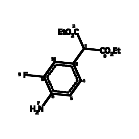 CCOC(=O)C(C(=O)OCC)c1ccc(N)c(F)c1